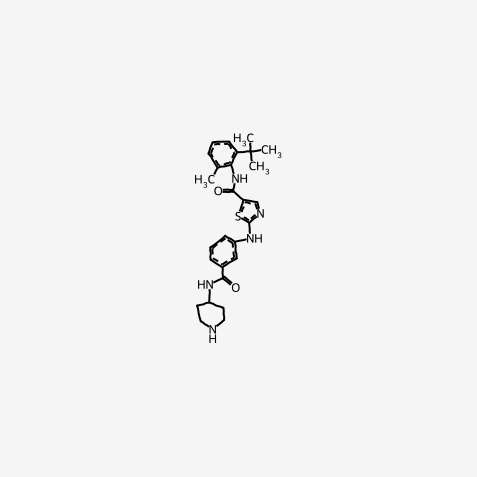 Cc1cccc(C(C)(C)C)c1NC(=O)c1cnc(Nc2cccc(C(=O)NC3CCNCC3)c2)s1